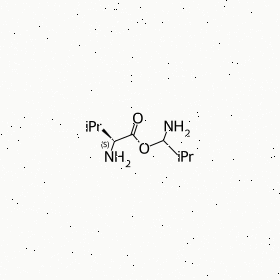 CC(C)C(N)OC(=O)[C@@H](N)C(C)C